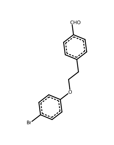 O=Cc1ccc(CCOc2ccc(Br)cc2)cc1